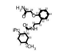 CC1CC[C@@H](C(C)C)[C@H](C(=O)NCCc2ccccc2OCC(N)=O)C1